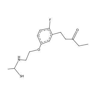 CCC(=O)CCc1cc(OCCNC(C)S)ccc1F